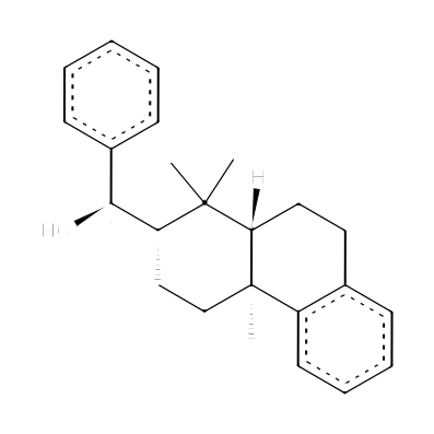 CC1(C)[C@@H]([C@@H](O)c2ccccc2)CC[C@]2(C)c3ccccc3CC[C@@H]12